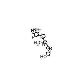 Cc1nc(COC(=O)N2CCC(O)C2)sc1-c1cccc(-c2cc(F)c3nn[nH]c3c2F)n1